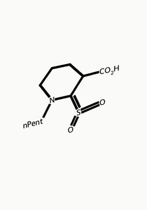 CCCCCN1CCCC(C(=O)O)C1=S(=O)=O